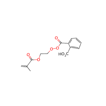 C=C(C)C(=O)OCCOOC(=O)c1ccccc1C(=O)O